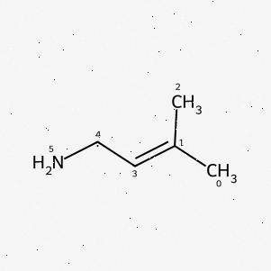 CC(C)=C[CH]N